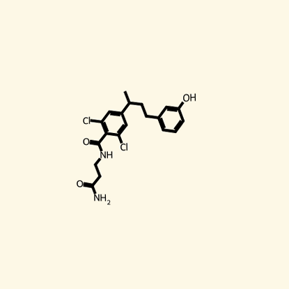 CC(CCc1cccc(O)c1)c1cc(Cl)c(C(=O)NCCC(N)=O)c(Cl)c1